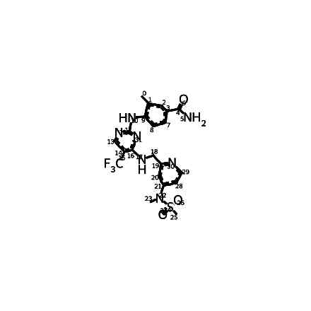 Cc1cc(C(N)=O)ccc1Nc1ncc(C(F)(F)F)c(NCc2cc(N(C)S(C)(=O)=O)ccn2)n1